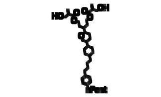 C=C(CO)C(=O)OCCC(CCOC(=O)C(=C)CO)C1CCC(C2CCC(CCCCc3ccc(CCCCC)cc3)CC2)CO1